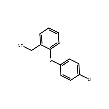 N#CCc1ccccc1Sc1ccc(Cl)cc1